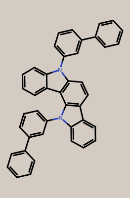 c1ccc(-c2cccc(-n3c4ccccc4c4c3ccc3c5ccccc5n(-c5cccc(-c6ccccc6)c5)c34)c2)cc1